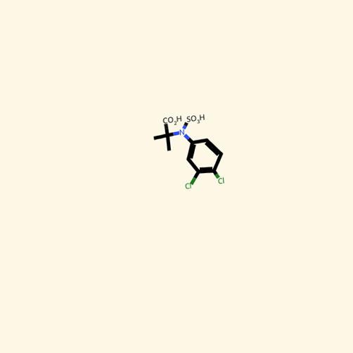 CC(C)(C(=O)O)N(c1ccc(Cl)c(Cl)c1)S(=O)(=O)O